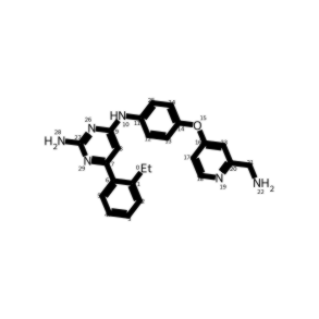 CCc1ccccc1-c1cc(Nc2ccc(Oc3ccnc(CN)c3)cc2)nc(N)n1